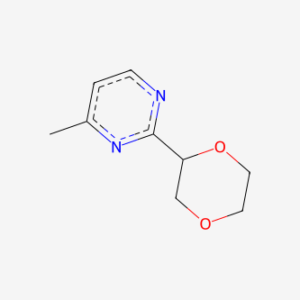 Cc1ccnc(C2COCCO2)n1